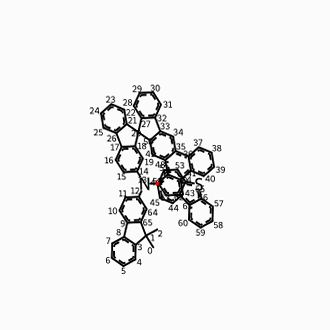 CC1(C)c2ccccc2-c2ccc(N(c3ccc4c(c3)C3(c5ccccc5-4)c4ccccc4-c4cc5c6ccccc6c6ccccc6c5cc43)c3ccc4sc5ccccc5c4c3)cc21